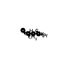 Cc1c[n+](Cc2ccccc2)ccc1-c1ccc(-c2cc[n+](CC(C)C)cc2C)cc1